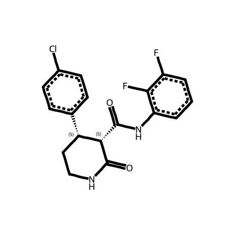 O=C1NCC[C@H](c2ccc(Cl)cc2)[C@@H]1C(=O)Nc1cccc(F)c1F